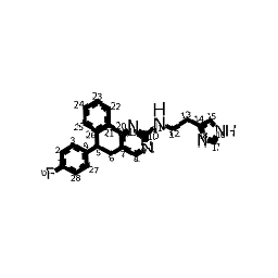 Fc1ccc(C2Cc3cnc(NCCc4c[nH]cn4)nc3-c3ccccc32)cc1